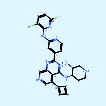 C[C@H]1CNCC[C@H]1Nc1nc(-c2ccnc(Nc3nc(F)ccc3F)c2)nc2cncc(C3=CC=C3)c12